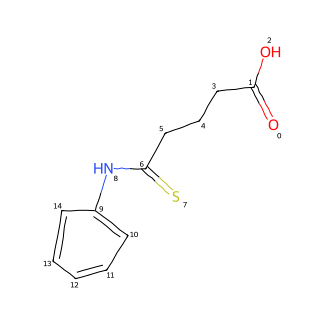 O=C(O)CCCC(=S)Nc1ccccc1